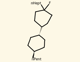 CCCCCCCC1(F)CCC([C@H]2CC[C@H](CCCCC)CC2)CC1